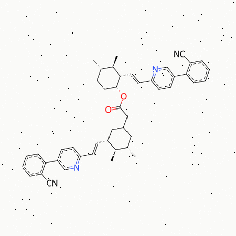 C[C@H]1[C@H](/C=C/c2ccc(-c3ccccc3C#N)cn2)[C@H](OC(=O)CC2C[C@@H](/C=C/c3ccc(-c4ccccc4C#N)cn3)[C@H](C)[C@@H](C)C2)CC[C@@H]1C